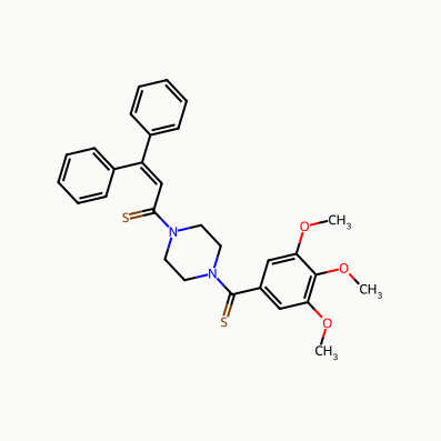 COc1cc(C(=S)N2CCN(C(=S)C=C(c3ccccc3)c3ccccc3)CC2)cc(OC)c1OC